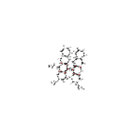 Cc1ccc(P(c2ccccc2)c2ccc3ccccc3c2-c2c(P(c3ccc(C)cc3)c3ccc(C)cc3)ccc3ccccc23)cc1